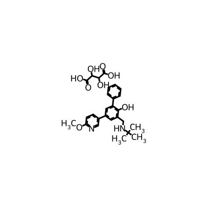 COc1ccc(-c2cc(CNC(C)(C)C)c(O)c(-c3ccccc3)c2)cn1.O=C(O)C(O)C(O)C(=O)O